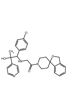 CC(O)(c1ccncc1)C(NCC(=O)N1CCC2(CC1)OCc1ccccc12)c1ccc(Cl)cc1